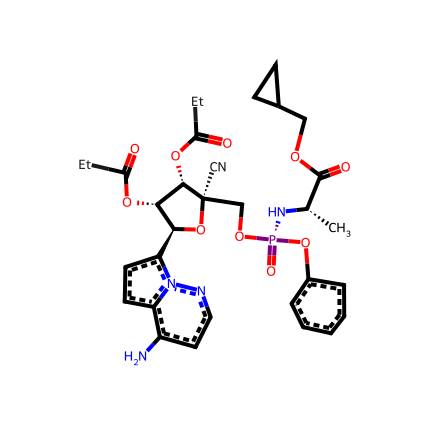 CCC(=O)O[C@H]1[C@H](c2ccc3c(N)ccnn23)O[C@](C#N)(CO[P@@](=O)(N[C@@H](C)C(=O)OCC2CC2)Oc2ccccc2)[C@H]1OC(=O)CC